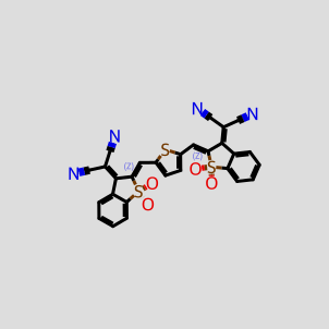 N#CC(C#N)=C1/C(=C/c2ccc(/C=C3/C(=C(C#N)C#N)c4ccccc4S3(=O)=O)s2)S(=O)(=O)c2ccccc21